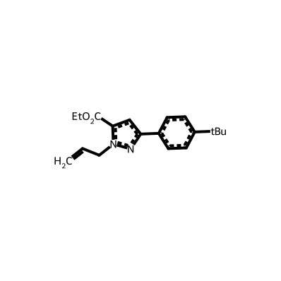 C=CCn1nc(-c2ccc(C(C)(C)C)cc2)cc1C(=O)OCC